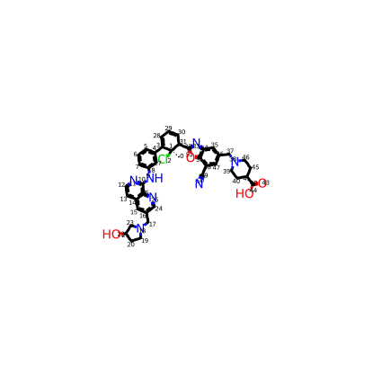 C[C@]1(Cl)C(c2cccc(Nc3nccc4cc(CN5CCC(O)C5)cnc34)c2)=CC=CC1c1nc2cc(CN3CCC(C(=O)O)CC3)cc(C#N)c2o1